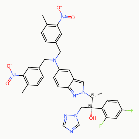 Cc1ccc(CN(Cc2ccc(C)c([N+](=O)[O-])c2)c2ccc3nn([C@H](C)[C@](O)(Cn4cncn4)c4ccc(F)cc4F)cc3c2)cc1[N+](=O)[O-]